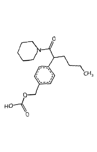 CCCCC(C(=O)N1CCCCC1)c1ccc(COC(=O)O)cc1